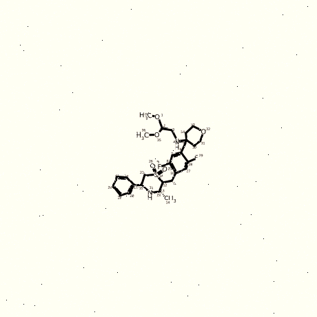 COC(CNC1(c2cc(F)c(CC3[C@H](C)NC(c4ccccc4)CS3(=O)=O)cc2F)CCOCC1)OC